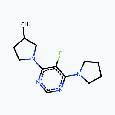 CC1CCN(c2ncnc(N3CCCC3)c2F)C1